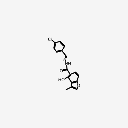 Cc1coc2ccc(C(=O)N/N=C/c3ccc(Cl)cc3)c(O)c12